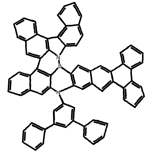 c1ccc(-c2cc(-c3ccccc3)cc(N3c4cc5cc6c7ccccc7c7ccccc7c6cc5cc4B4c5c3cc3ccccc3c5-c3cc5ccccc5c5c6c7ccccc7ccc6n4c35)c2)cc1